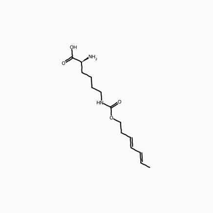 C/C=C/C=C/CCOC(=O)NCCCC[C@H](N)C(=O)O